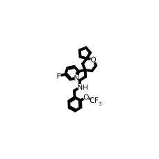 Fc1ccc(C2(CCNCc3ccccc3OC(F)(F)F)CCOC3(CCCC3)C2)nc1